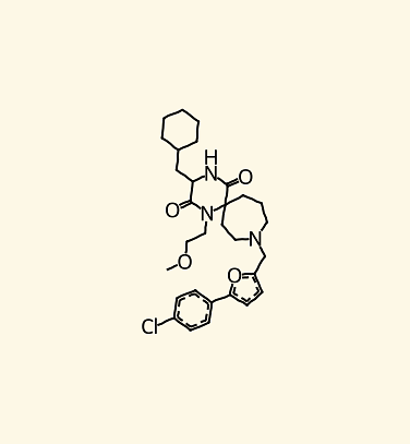 COCCN1C(=O)C(CC2CCCCC2)NC(=O)C12CCCN(Cc1ccc(-c3ccc(Cl)cc3)o1)CC2